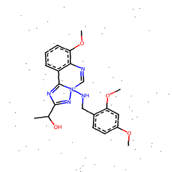 COc1ccc(CN[N+]23C=Nc4c(OC)cccc4C2=NC(C(C)O)=N3)c(OC)c1